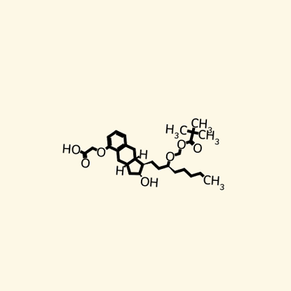 CCCCC[C@@H](CC[C@@H]1[C@H]2Cc3cccc(OCC(=O)O)c3C[C@H]2C[C@H]1O)OCOC(=O)C(C)(C)C